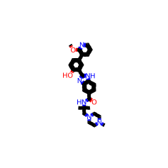 COc1ncccc1-c1ccc(O)c(-c2nc3cc(C(=O)NC(C)(C)CN4CCN(C)CC4)ccc3[nH]2)c1